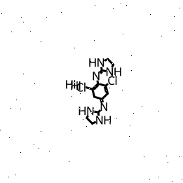 ClC1=CC(=NC2NCCN2)CC(Cl)=C1N=C1NCCN1.I.I